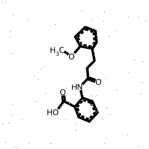 COc1ccccc1CCC(=O)Nc1ccccc1C(=O)O